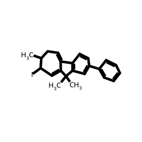 CC1CC=C2C(=CC1I)C(C)(C)c1cc(-c3ccccc3)ccc12